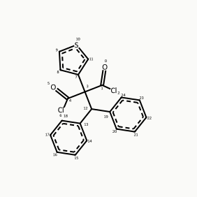 O=C(Cl)C(C(=O)Cl)(c1ccsc1)C(c1ccccc1)c1ccccc1